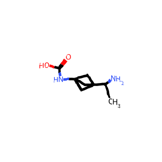 CC(N)C12CC(NC(=O)O)(C1)C2